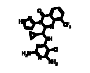 Nc1nc(N)c(Cl)c(NC(c2nc3c(C(F)(F)F)cccc3c(=O)n2-c2cc[nH]n2)C2CC2)n1